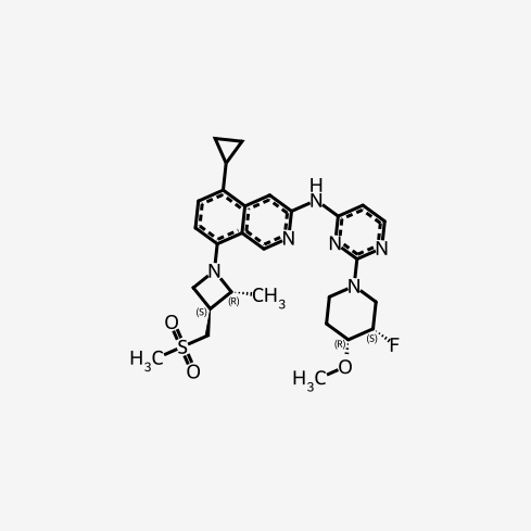 CO[C@@H]1CCN(c2nccc(Nc3cc4c(C5CC5)ccc(N5C[C@H](CS(C)(=O)=O)[C@H]5C)c4cn3)n2)C[C@@H]1F